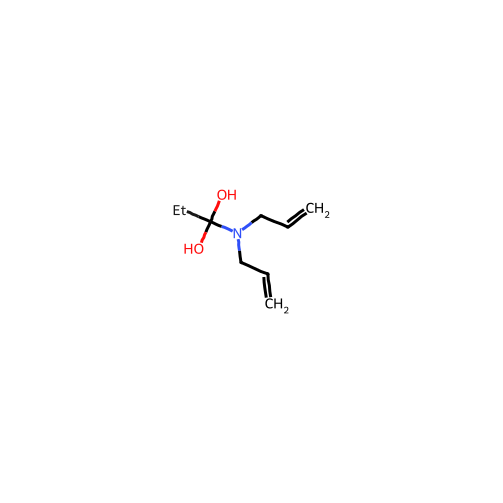 C=CCN(CC=C)C(O)(O)CC